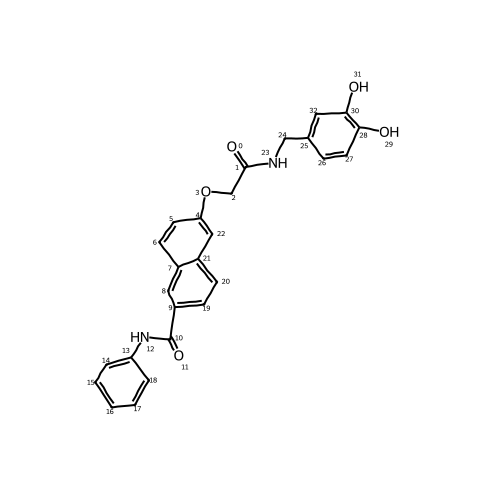 O=C(COc1ccc2cc(C(=O)Nc3ccccc3)ccc2c1)NCc1ccc(O)c(O)c1